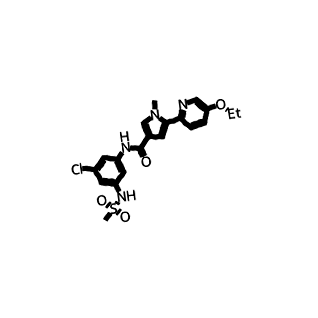 CCOc1ccc(-c2cc(C(=O)Nc3cc(Cl)cc(NS(C)(=O)=O)c3)cn2C)nc1